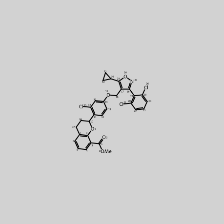 COC(=O)c1cccc2c1OC(c1ccc(OCc3c(-c4c(Cl)cccc4Cl)noc3C3CC3)cc1Cl)CC2